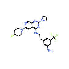 Nc1cc(CCNc2nc(N3CCC3)nc3cnc(N4CCC(F)CC4)cc23)cc(C(F)(F)F)c1